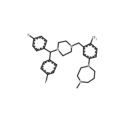 CN1CCCN(c2ccc(C(F)(F)F)c(CN3CCN(C(c4ccc(F)cc4)c4ccc(F)cc4)CC3)c2)CC1